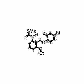 CCOc1cccc(N(CC)C(=O)SC)c1COc1ccc(CC)cc1C